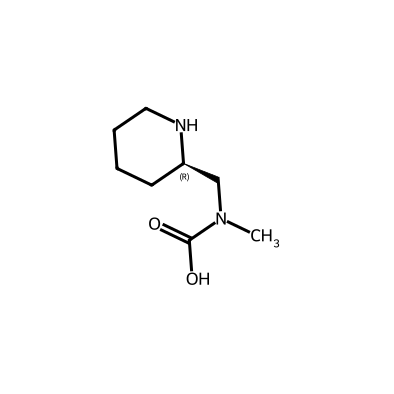 CN(C[C@H]1CCCCN1)C(=O)O